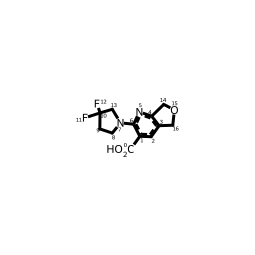 O=C(O)c1cc2c(nc1N1CCC(F)(F)C1)COC2